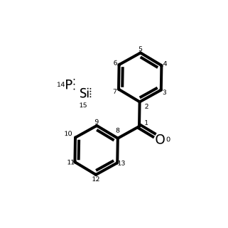 O=C(c1ccccc1)c1ccccc1.[P].[Si]